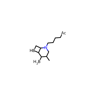 BC1C(C)CN(CCCCC(C)=O)C2CBC12